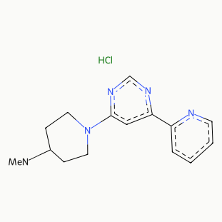 CNC1CCN(c2cc(-c3ccccn3)ncn2)CC1.Cl